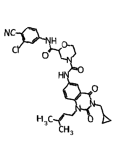 CC(C)=CCn1c(=O)n(CC2CC2)c(=O)c2cc(NC(=O)N3CCOC(C(=O)Nc4ccc(C#N)c(Cl)c4)C3)ccc21